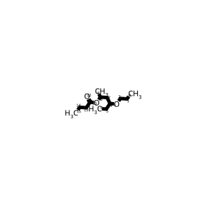 CCCOC(CC)CC(C)OC(=O)CCC